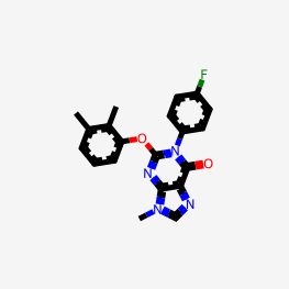 Cc1cccc(Oc2nc3c(ncn3C)c(=O)n2-c2ccc(F)cc2)c1C